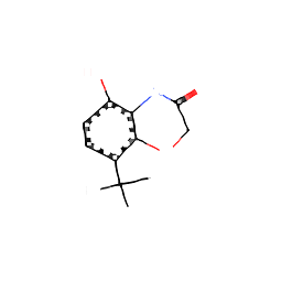 CCC(C)(C)c1ccc(O)c2c1OCC(=O)N2